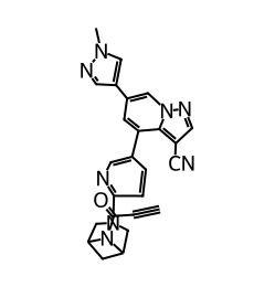 C#CC(=O)N1C2CC1CN(c1ccc(-c3cc(-c4cnn(C)c4)cn4ncc(C#N)c34)cn1)C2